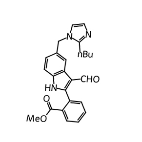 CCCCc1nccn1Cc1ccc2[nH]c(-c3ccccc3C(=O)OC)c(C=O)c2c1